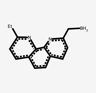 BCc1ccc2ccc3ccc(CC)nc3c2n1